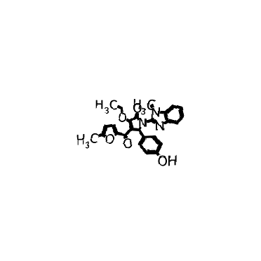 CCOC1=C(C(=O)c2ccc(C)o2)C(c2ccc(O)cc2)N(c2nc3ccccc3n2C)C1=O